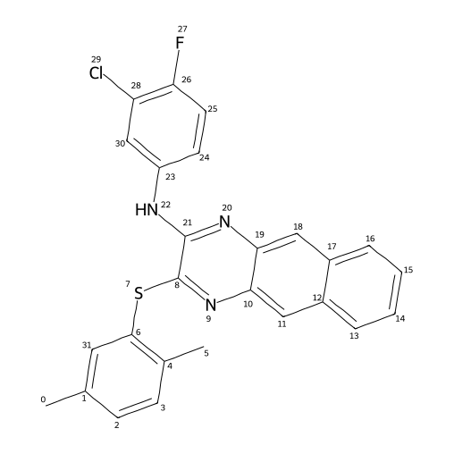 Cc1ccc(C)c(Sc2nc3cc4ccccc4cc3nc2Nc2ccc(F)c(Cl)c2)c1